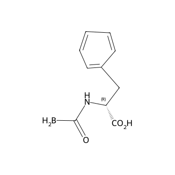 BC(=O)N[C@H](Cc1ccccc1)C(=O)O